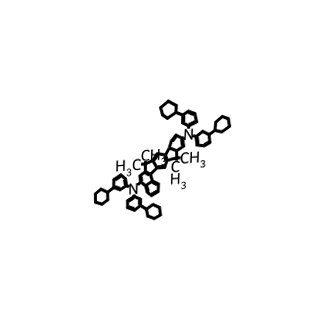 CC1(C)c2cc3c(cc2-c2c1cc(N(c1cccc(C4CCCCC4)c1)c1cccc(C4CCCCC4)c1)c1ccccc21)C(C)(C)C1C=C(N(C2=CC=CC(C4CCCCC4)C2)c2cccc(C4CCCCC4)c2)C=CC31